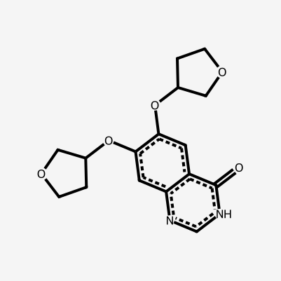 O=c1[nH]cnc2cc(OC3CCOC3)c(OC3CCOC3)cc12